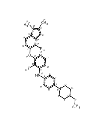 CCN1CCN(c2ccc(Nc3ncnc(Oc4ccc5c(cc(C)n5C)c4F)c3F)nc2)CC1